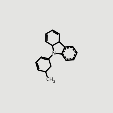 CC1C=CC=C(N2c3ccccc3C3C=CC=CC32)C1